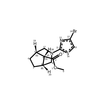 COC(=O)[C@H]1[C@@H]2CC[C@H]1CN(c1nc(Br)cs1)C2